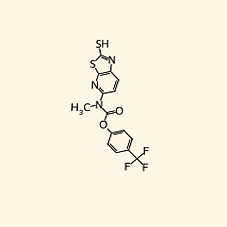 CN(C(=O)Oc1ccc(C(F)(F)F)cc1)c1ccc2nc(S)sc2n1